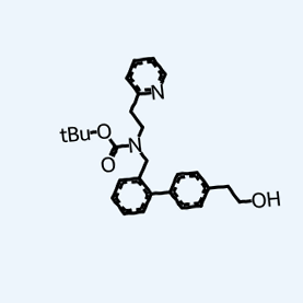 CC(C)(C)OC(=O)N(CCc1ccccn1)Cc1ccccc1-c1ccc(CCO)cc1